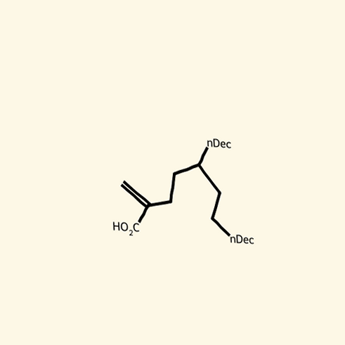 C=C(CCC(CCCCCCCCCC)CCCCCCCCCCCC)C(=O)O